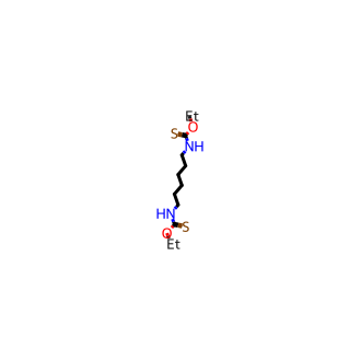 CCOC(=S)NCCCCCCNC(=S)OCC